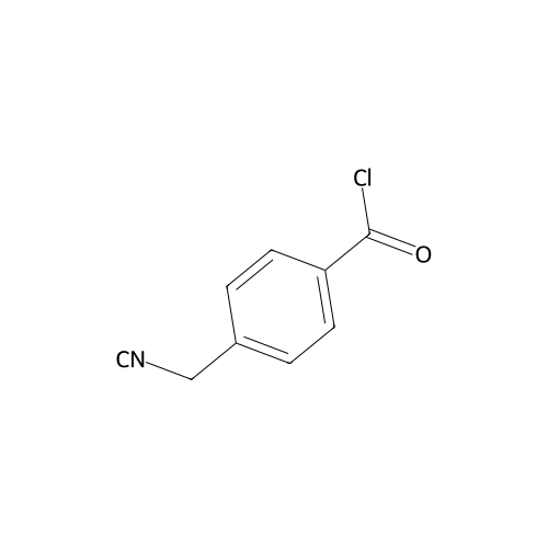 [C-]#[N+]Cc1ccc(C(=O)Cl)cc1